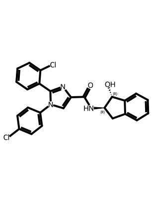 O=C(N[C@@H]1Cc2ccccc2[C@H]1O)c1cn(-c2ccc(Cl)cc2)c(-c2ccccc2Cl)n1